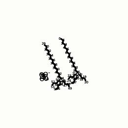 CCCCCCCCCCCCCCCC[P+](CCCC)(CCCC)CCCC.CCCCCCCCCCCCCCCC[P+](CCCC)(CCCC)CCCC.O=S(=O)([O-])[O-]